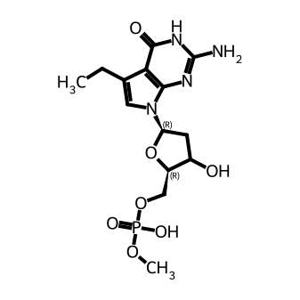 CCc1cn([C@H]2CC(O)[C@@H](COP(=O)(O)OC)O2)c2nc(N)[nH]c(=O)c12